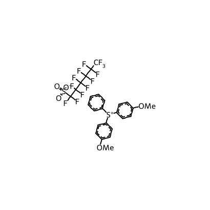 COc1ccc([S+](c2ccccc2)c2ccc(OC)cc2)cc1.O=S(=O)([O-])C(F)(F)C(F)(F)C(F)(F)C(F)(F)C(F)(F)C(F)(F)F